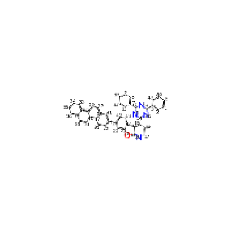 c1ccc(-c2nc(-c3ccccc3)nc(-c3ccnc4oc5cc(-c6ccc7c(ccc8c9ccccc9ccc78)c6)ccc5c34)n2)cc1